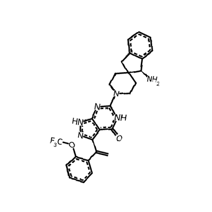 C=C(c1ccccc1OC(F)(F)F)c1n[nH]c2nc(N3CCC4(CC3)Cc3ccccc3[C@H]4N)[nH]c(=O)c12